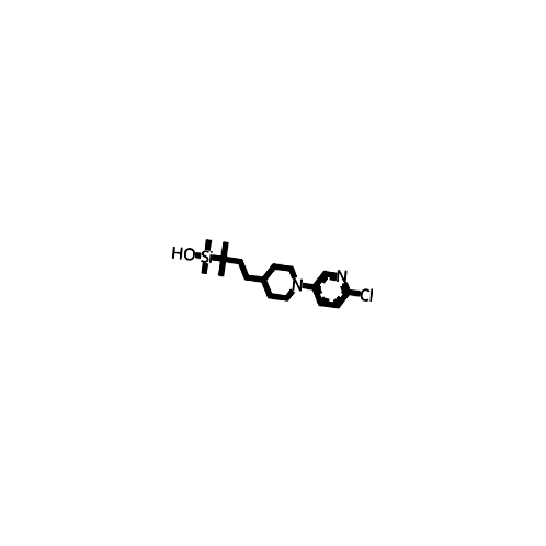 CC(C)(CCC1CCN(c2ccc(Cl)nc2)CC1)[Si](C)(C)O